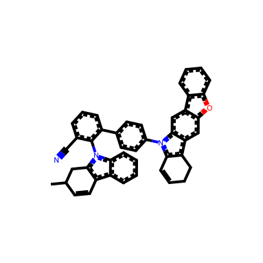 CC1C=Cc2c(n(-c3c(C#N)cccc3-c3ccc(-n4c5c(c6cc7oc8ccccc8c7cc64)CCC=C5)cc3)c3ccccc23)C1